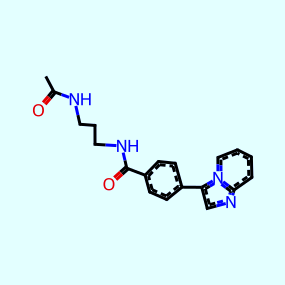 CC(=O)NCCCNC(=O)c1ccc(-c2cnc3ccccn23)cc1